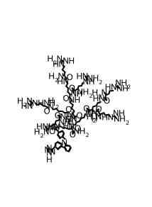 N=C(N)NCCCC(N)C(=O)NCCCCC(NC(=O)C(N)CCCNC(=N)N)C(=O)NCCCCC(NC(=O)C(CCCCNC(=O)C(CCCCNC(=O)C(N)CCCNC(=N)N)NC(=O)C(N)CCCNC(=N)N)NC(=O)C(CCCCNC(=O)C(N)CCCNC(=N)N)NC(=O)C(N)CCCNC(=N)N)C(=O)NC(CCCCNC(=O)c1ccc(Cn2c3ccccc3c3cc(-c4nn[nH]n4)ccc32)cc1)C(N)=O